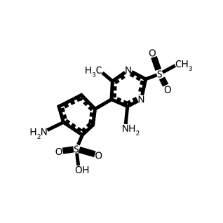 Cc1nc(S(C)(=O)=O)nc(N)c1-c1ccc(N)c(S(=O)(=O)O)c1